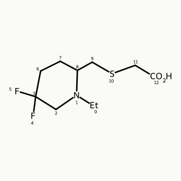 CCN1CC(F)(F)CCC1CSCC(=O)O